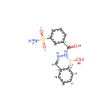 NS(=O)(=O)c1cccc(C(=O)N2N=Cc3ccccc3B2O)c1